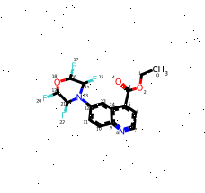 CCOC(=O)c1ccnc2ccc(N3C(F)C(F)OC(F)C3F)cc12